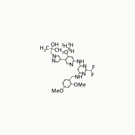 [2H]C([2H])([2H])Oc1cc(Nc2cc(NCc3ccc(OC)cc3OC)nc(C(F)F)n2)ncc1-c1cnn(CC(C)(C)O)c1